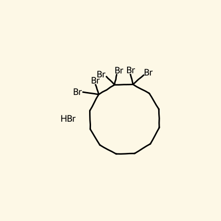 Br.BrC1(Br)CCCCCCCCCC(Br)(Br)C1(Br)Br